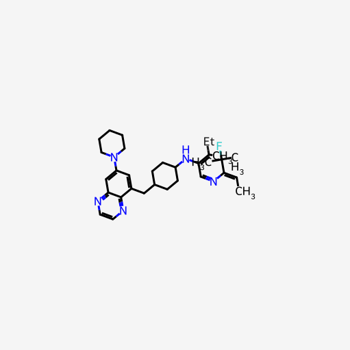 C\C=C(/N=C\C(NC1CCC(Cc2cc(N3CCCCC3)cc3nccnc23)CC1)=C(/C)CC)C(C)(C)F